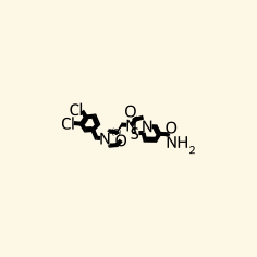 CC(=O)N(C[C@@H]1CN(Cc2ccc(Cl)c(Cl)c2)CCO1)Sc1ccc(C(N)=O)cn1